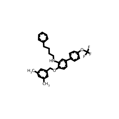 Cc1cc(C)cc(COc2ccc(-c3ccc(OC(F)(F)F)cc3)cc2NCCCCc2ccccc2)c1